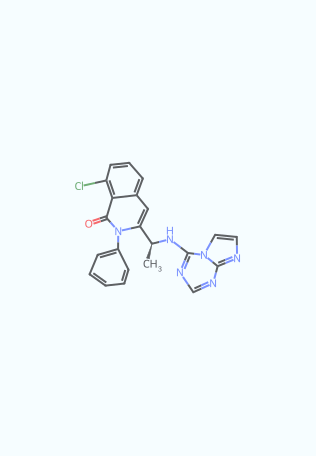 C[C@H](Nc1ncnc2nccn12)c1cc2cccc(Cl)c2c(=O)n1-c1ccccc1